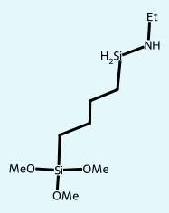 CCN[SiH2]CCCC[Si](OC)(OC)OC